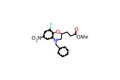 COC(=O)CCC1CN(Cc2ccccc2)c2cc([N+](=O)[O-])cc(F)c2O1